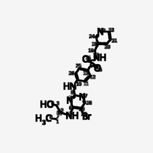 CC[C@H](CO)Nc1nc(Nc2ccc(S(=O)(=O)NCc3cccnc3)cc2)ncc1Br